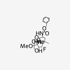 COC1(OC)CO[C@H]2[C@@H]1N1C(=O)[C@@H](NC(=O)OCc3ccccc3)CC(C)C1[C@@H]2F